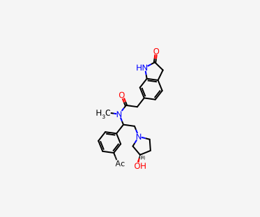 CC(=O)c1cccc(C(CN2CC[C@@H](O)C2)N(C)C(=O)Cc2ccc3c(c2)NC(=O)C3)c1